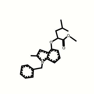 COC(=O)C(CC(C)C)Oc1cccc2c1cc(C)n2Cc1ccccc1